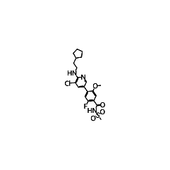 COc1cc(C(=O)NS(C)(=O)=O)c(F)cc1-c1cnc(NCCC2CCCC2)c(Cl)c1